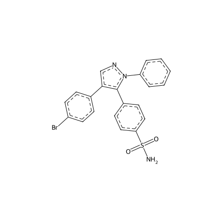 NS(=O)(=O)c1ccc(-c2c(-c3ccc(Br)cc3)cnn2-c2ccccc2)cc1